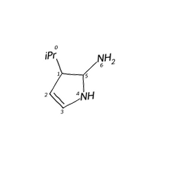 CC(C)C1C=CNC1N